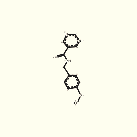 COc1ccc(CNC(=O)c2cncnc2)cc1